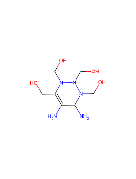 NC1=C(CO)N(CO)N(CO)N(CO)C1N